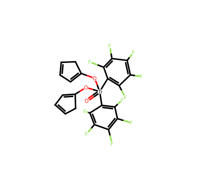 [O]=[Ti]([O]C1=CC=CC1)([O]C1=CC=CC1)([c]1c(F)c(F)c(F)c(F)c1F)[c]1c(F)c(F)c(F)c(F)c1F